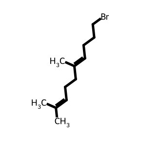 CC(C)=CCC/C(C)=C/CCCBr